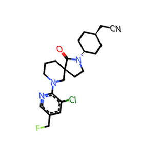 N#CC[C@H]1CC[C@H](N2CCC3(CCCN(c4ncc(CF)cc4Cl)C3)C2=O)CC1